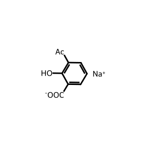 CC(=O)c1cccc(C(=O)[O-])c1O.[Na+]